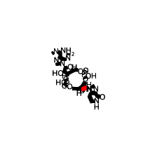 C=Nc1c(/C(N)=N\C)ncn1[C@@H]1O[C@@H]2COP(=O)(O)O[C@@H]3[C@H](O)[C@@H](COP(=O)(O)O[C@H]2[C@H]1O)O[C@H]3n1cnc2c(=O)[nH]ccc21